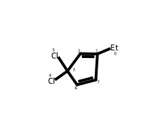 CCC1=CC(Cl)(Cl)C=C1